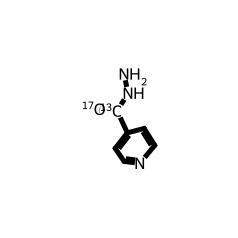 NN[13C](=[17O])c1ccncc1